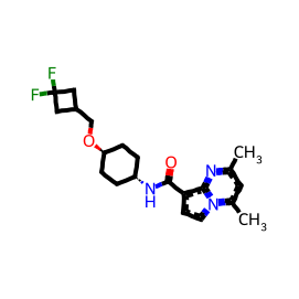 Cc1cc(C)n2ccc(C(=O)N[C@H]3CC[C@H](OCC4CC(F)(F)C4)CC3)c2n1